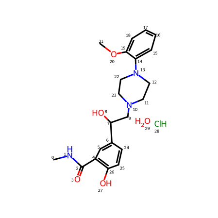 CNC(=O)c1cc(C(O)CN2CCN(c3ccccc3OC)CC2)ccc1O.Cl.O